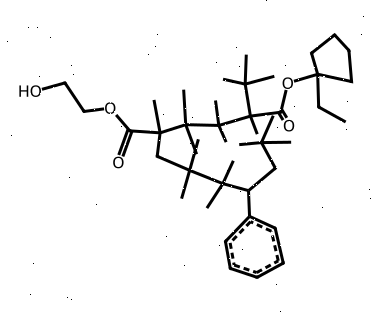 CCC1(OC(=O)C(C)(C(C)(C)C)C(C)(C)C(C)(C)C(C)(CC(C)(C)C(C)(C)C(CC(C)(C)C)c2ccccc2)C(=O)OCCO)CCCC1